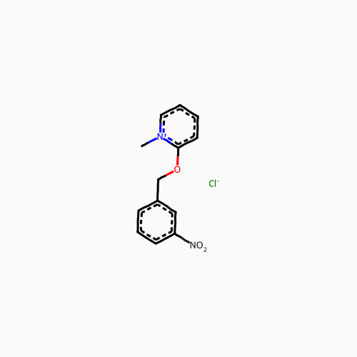 C[n+]1ccccc1OCc1cccc([N+](=O)[O-])c1.[Cl-]